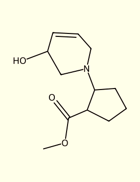 COC(=O)C1CCCC1N1CC=CC(O)C1